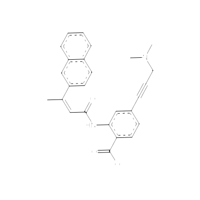 C/C(=C/C(=O)Nc1cc(C#CCN(C)C)ccc1C(=O)O)c1ccc2ccccc2c1